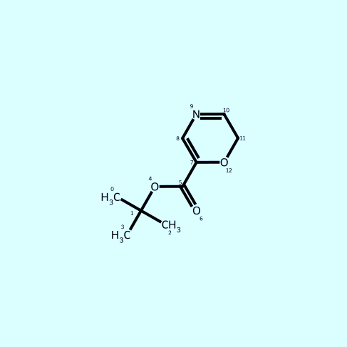 CC(C)(C)OC(=O)C1=CN=CCO1